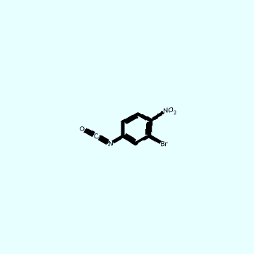 O=C=Nc1ccc([N+](=O)[O-])c(Br)c1